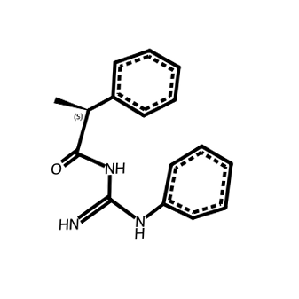 C[C@H](C(=O)NC(=N)Nc1ccccc1)c1ccccc1